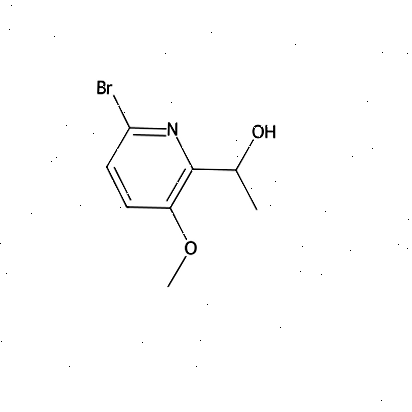 COc1ccc(Br)nc1C(C)O